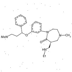 CCNC[C@@H]1CN(C)CCN(c2cccc(OC(CCNC)c3ccccc3)c2)C1=O